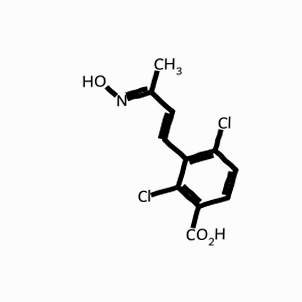 CC(C=Cc1c(Cl)ccc(C(=O)O)c1Cl)=NO